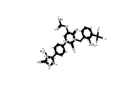 Cc1c(Cn2c(=O)c(OC(=O)O)cn(-c3ccc(-c4noc(=O)n4C)cc3)c2=O)cccc1C(F)(F)F